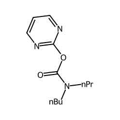 CCCCN(CCC)C(=O)Oc1ncccn1